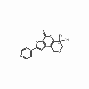 CC(C)[C@@]1(O)COCc2c1oc(=O)c1sc(-c3ccncc3)cc21